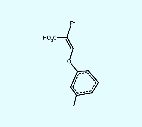 CCC(=COc1cccc(C)c1)C(=O)O